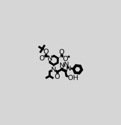 COC(=O)[C@@H]1C[C@H](N(CC(C)C)C(=O)c2nnn(-c3ccccc3)c2CO)CN(C(=O)OC(C)(C)C)C1